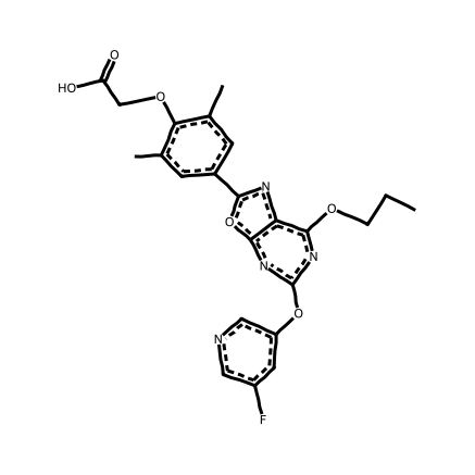 CCCOc1nc(Oc2cncc(F)c2)nc2oc(-c3cc(C)c(OCC(=O)O)c(C)c3)nc12